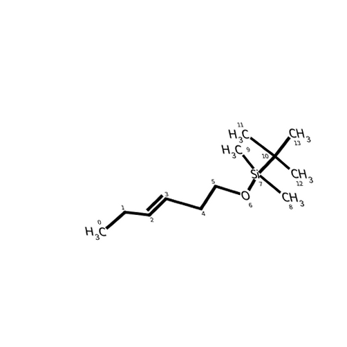 CCC=CCCO[Si](C)(C)C(C)(C)C